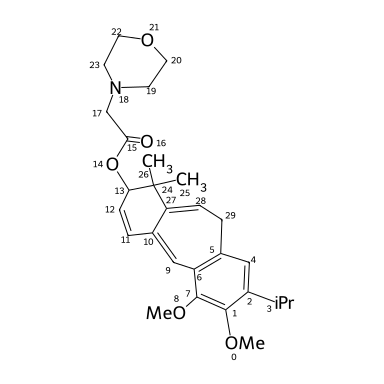 COc1c(C(C)C)cc2c(c1OC)C=C1C=CC(OC(=O)CN3CCOCC3)C(C)(C)C1=CC2